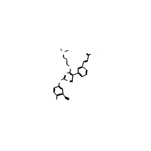 Cc1ccc(Nc2ncc(-c3cccc(/C=C/C(=O)O)c3)c(NCCCN(C)C)n2)cc1C#N